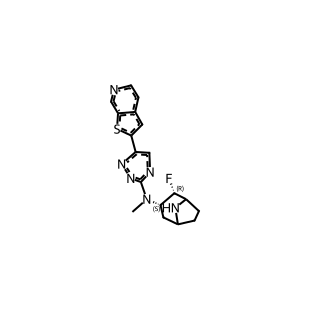 CN(c1ncc(-c2cc3ccncc3s2)nn1)[C@H]1CC2CCC(N2)[C@H]1F